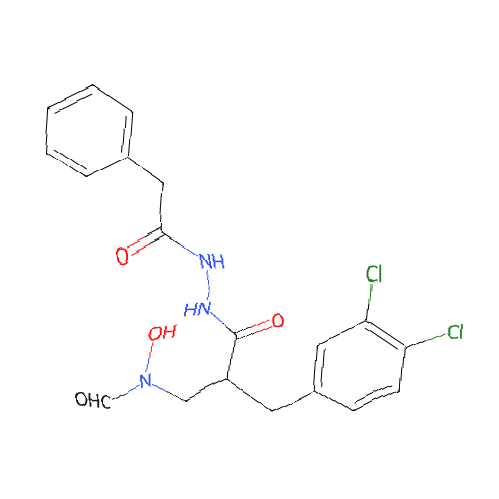 O=CN(O)CC(Cc1ccc(Cl)c(Cl)c1)C(=O)NNC(=O)Cc1ccccc1